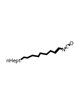 CCCCCCCCCCCCCCC=CN=C=O